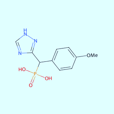 COc1ccc(C(c2nc[nH]n2)P(=O)(O)O)cc1